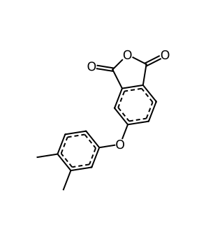 Cc1ccc(Oc2ccc3c(c2)C(=O)OC3=O)cc1C